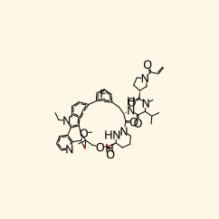 C=CC(=O)N1CC[C@H](C(=O)N(C)C(C(=O)N[C@H]2Cc3cccc(c3F)-c3ccc4c(c3)c(c(-c3cccnc3[C@H](C)OC)n4CC)CC(C)(C)COC(=O)[C@@H]3CCCN(N3)C2=O)C(C)C)C1